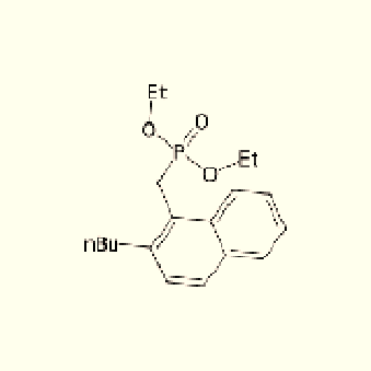 CCCCc1ccc2ccccc2c1CP(=O)(OCC)OCC